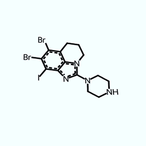 Brc1c(Br)c2c3c(nc(N4CCNCC4)n3CCC2)c1I